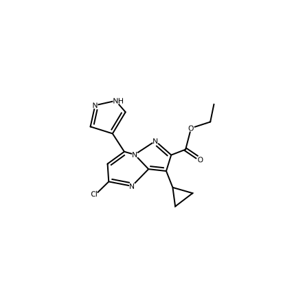 CCOC(=O)c1nn2c(-c3cn[nH]c3)cc(Cl)nc2c1C1CC1